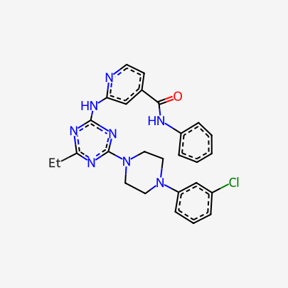 CCc1nc(Nc2cc(C(=O)Nc3ccccc3)ccn2)nc(N2CCN(c3cccc(Cl)c3)CC2)n1